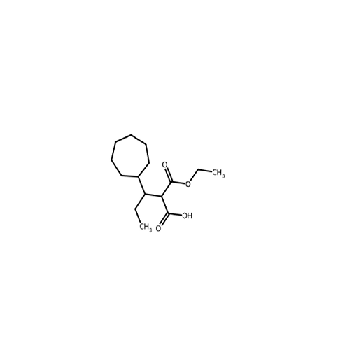 CCOC(=O)C(C(=O)O)C(CC)C1CCCCCC1